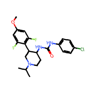 COc1cc(F)c(C2CN(C(C)C)CCC2NC(=O)Nc2ccc(Cl)cc2)c(F)c1